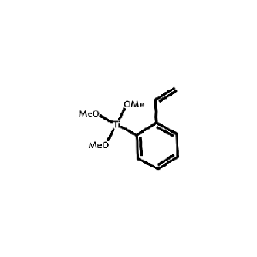 C=Cc1cccc[c]1[Ti]([O]C)([O]C)[O]C